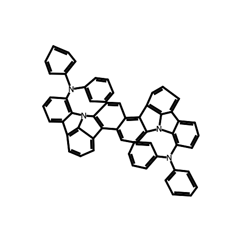 c1ccc(N(c2ccccc2)c2cccc3c4cccc5c6c7ccc8c(c7ccc6n(c23)c45)c2cccc3c4cccc(N(c5ccccc5)c5ccccc5)c4n8c32)cc1